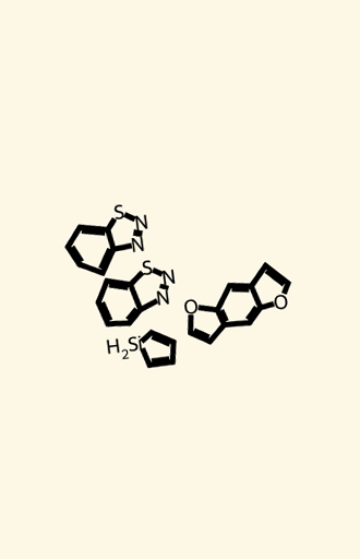 C1=C[SiH2]C=C1.c1cc2cc3occc3cc2o1.c1ccc2snnc2c1.c1ccc2snnc2c1